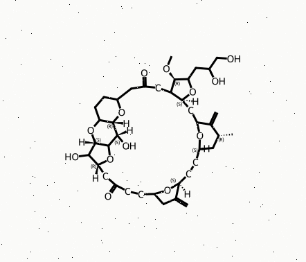 C=C1C2C[C@@H]3OC(CC(O)CO)[C@H](OC)C3CC(=O)CC3CCC4O[C@@H]5C(O[C@H](CC(=O)CCC6CC(=C)[C@H](CC[C@@H](C[C@H]1C)O2)O6)C5O)[C@@H](O)[C@H]4O3